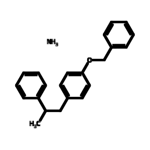 CC(Cc1ccc(OCc2ccccc2)cc1)c1ccccc1.N